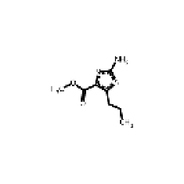 CCCc1sc(N)nc1C(=O)OC